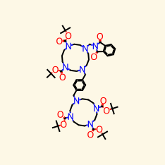 CC(C)(C)OC(=O)N1CCCN(C(=O)OC(C)(C)C)CCN(CN2C(=O)c3ccccc3C2=O)CCCN(Cc2ccc(CN3CCCN(C(=O)OC(C)(C)C)CCN(C(=O)OC(C)(C)C)CCCN(C(=O)OC(C)(C)C)CC3)cc2)CC1